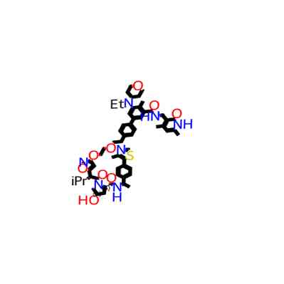 CCN(c1cc(-c2ccc(CCOCCOc3cc(C(C(=O)N4C[C@H](O)C[C@H]4C(=O)NC(C)c4ccc(-c5scnc5C)cc4)C(C)C)on3)cc2)cc(C(=O)NCc2c(C)cc(C)[nH]c2=O)c1C)C1CCOCC1